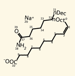 CCCCCCCC/C=C\CCCCCCCC(=O)[O-].CCCCCCCCCCCCCCCC(N)=O.[Na+]